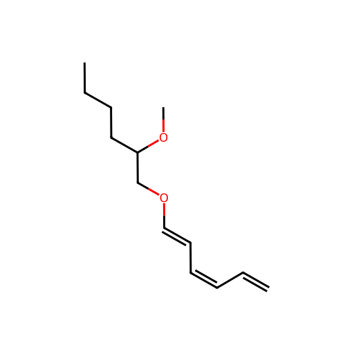 C=C/C=C\C=C\OCC(CCCC)OC